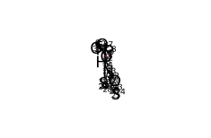 CS(=O)(=O)Nc1ccccc1OCC=CCN1CCC(OC(c2ccsc2)c2ccsc2)CC1